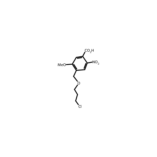 COc1cc(C(=O)O)c([N+](=O)[O-])cc1COCCCCl